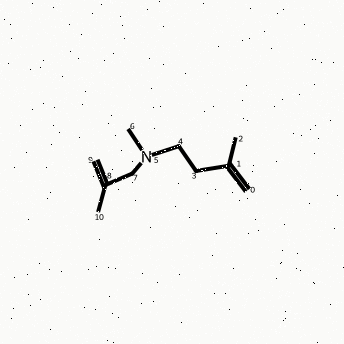 C=C(C)CCN(C)CC(=C)C